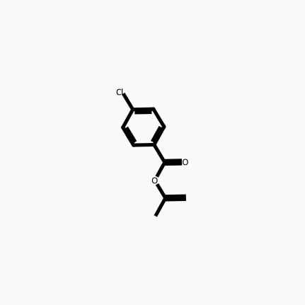 C=C(C)OC(=O)c1ccc(Cl)cc1